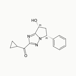 O=C(c1nc2n(n1)[C@@H](c1ccccc1)C[C@H]2O)C1CC1